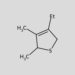 CCC1=C(C)C(C)SC1